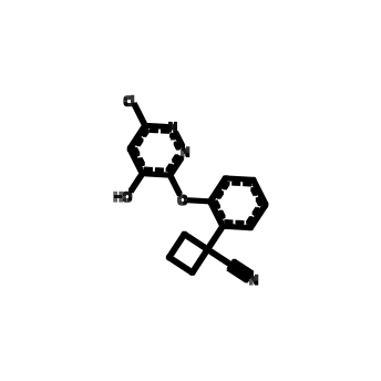 N#CC1(c2ccccc2Oc2nnc(Cl)cc2O)CCC1